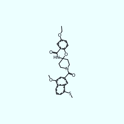 CCOc1ccc2c(c1)C(=O)NC1(CCN(C(=O)c3cc(OC)c4cccc(SC)c4c3)CC1)O2